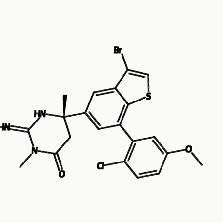 COc1ccc(Cl)c(-c2cc([C@]3(C)CC(=O)N(C)C(=N)N3)cc3c(Br)csc23)c1